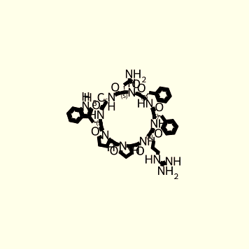 C[C@@H]1NC(=O)[C@H](CC(N)=O)NC(=O)[C@H](Cc2ccccc2)NC(=O)[C@H](Cc2ccccc2)NC(=O)[C@H](CCCNC(=N)N)NC(=O)[C@@H]2CCCN2C(=O)[C@H]2CCCN2C(=O)[C@H](Cc2c[nH]c3ccccc23)NC1=O